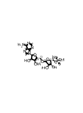 Nc1ncnc2c1ncn2[C@@H]1O[C@H](COC2O[C@H](COP(=O)(O)O)[C@@H](O)[C@@H]2O)[C@@H](O)[C@H]1O